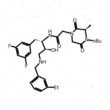 CCCCN1C(=O)CN(CC(=O)N[C@@H](Cc2cc(F)cc(F)c2)[C@@H](O)CNCc2cccc(CC)c2)C(=O)[C@H]1C